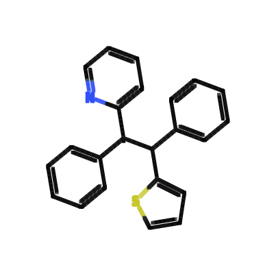 c1ccc([C](c2ccccn2)C(c2ccccc2)c2cccs2)cc1